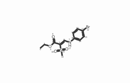 CCOC(=O)C(=CNc1ccc(Br)cc1)S(C)(=O)=O